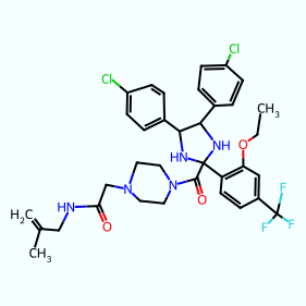 C=C(C)CNC(=O)CN1CCN(C(=O)C2(c3ccc(C(F)(F)F)cc3OCC)NC(c3ccc(Cl)cc3)C(c3ccc(Cl)cc3)N2)CC1